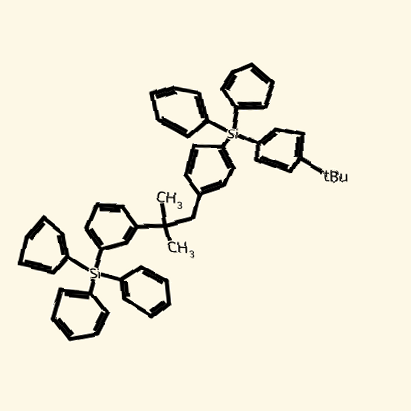 CC(C)(C)c1ccc([Si](c2ccccc2)(c2ccccc2)c2ccc(CC(C)(C)c3cccc([Si](c4ccccc4)(c4ccccc4)c4ccccc4)c3)cc2)cc1